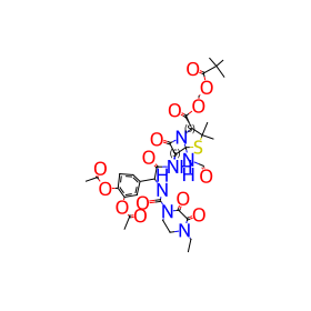 CCN1CCN(C(=O)NC(C(=O)N[C@H]2C(=O)N3[C@@H](C(=O)OCOC(=O)C(C)(C)C)C(C)(C)SC23NC=O)c2ccc(OC(C)=O)c(OC(C)=O)c2)C(=O)C1=O